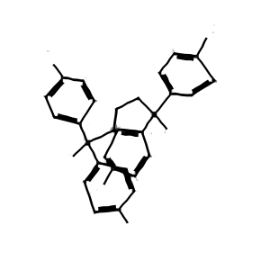 CC(CCCC(C)(c1ccc(O)cc1)c1ccc(O)cc1)(c1ccc(O)cc1)c1ccc(O)cc1